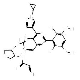 C=CC(=O)N[C@H]1COC[C@H]1Nc1ncc2cc(-c3c(Cl)c(OC)cc(OC)c3Cl)nc(-c3cnn(C4CC4)c3)c2n1